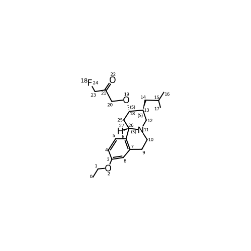 CCOc1ccc2c(c1)CCN1C[C@H](CC(C)C)[C@@H](OCC(=O)C[18F])C[C@@H]21